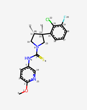 COc1ccc(NC(=S)N2C[C@H](C)[C@@](C)(c3cccc(F)c3Cl)C2)cn1